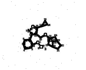 FC(F)(F)Oc1ccccc1-c1noc(C2CC2)c1COC1CC2CCC(C1)C2S